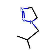 CC(C)CN1CCN=N1